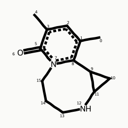 Cc1cc(C)c(=O)n2c1C1CC1NCCC2